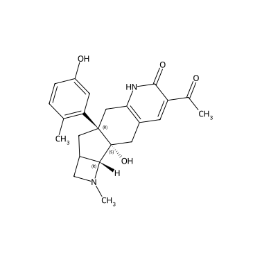 CC(=O)c1cc2c([nH]c1=O)C[C@@]1(c3cc(O)ccc3C)CC3CN(C)[C@H]3[C@]1(O)C2